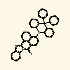 O=c1c2ccc(N3c4ccccc4C(c4ccccc4)(c4ccccc4)c4ccccc43)c3cccc(c32)c2nc3ccccc3n12